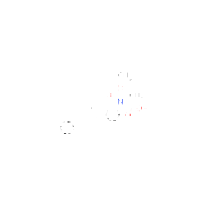 CCOC(=O)N(c1cccc(C(C)CCCc2ccccc2)c1)C(C)C(=O)O